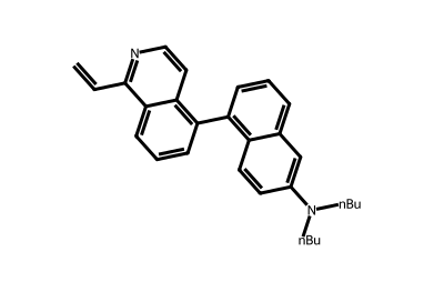 C=Cc1nccc2c(-c3cccc4cc(N(CCCC)CCCC)ccc34)cccc12